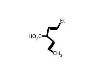 CC=CC(C=CCC)C(=O)O